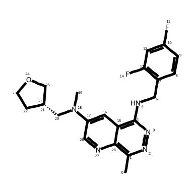 Cc1nnc(NCc2ccc(F)cc2F)c2cc(N(C)C[C@@H]3CCOC3)cnc12